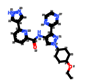 CCOC1CCC(n2cc(NC(=O)c3cccc(-c4cn[nH]c4)n3)c(-c3cnccn3)n2)CC1